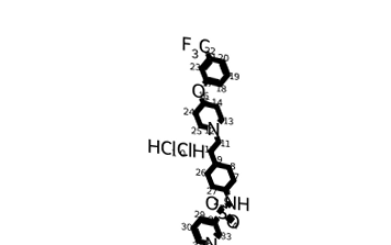 Cl.Cl.O=S(=O)(NC1CCC(CCN2CCC(Oc3cccc(C(F)(F)F)c3)CC2)CC1)c1cccnc1